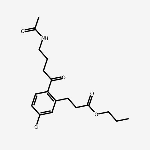 CCCOC(=O)CCc1cc(Cl)ccc1C(=O)CCCNC(C)=O